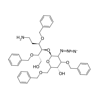 [N-]=[N+]=NC1C(OCc2ccccc2)[C@H](O)C(COCc2ccccc2)O[C@H]1O[C@@H]([C@H](CO)OCc1ccccc1)[C@@H](CCN)OCc1ccccc1